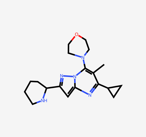 Cc1c(C2CC2)nc2cc(C3CCCCN3)nn2c1N1CCOCC1